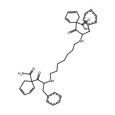 NC(=O)C1(C(=O)C(Cc2ccccc2)NCCCCCCCNC(Cc2ccccc2)C(=O)C2(C(N)=O)C=CC=CC2)C=CC=CC1